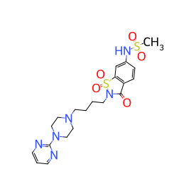 CS(=O)(=O)Nc1ccc2c(c1)S(=O)(=O)N(CCCCN1CCN(c3ncccn3)CC1)C2=O